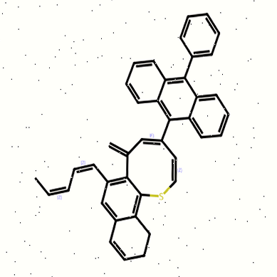 C=C1/C=C(c2c3ccccc3c(-c3ccccc3)c3ccccc23)\C=C/Sc2c3c(cc(/C=C\C=C/C)c21)C=CCC3